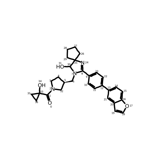 O=C(N1CC[C@@H](CN2C(c3ccc(-c4ccc5occc5c4)cc3)=NC3(CCCC3)C2O)C1)C1(O)CC1